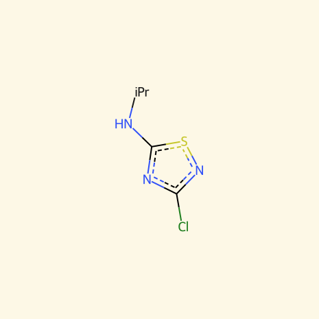 CC(C)Nc1nc(Cl)ns1